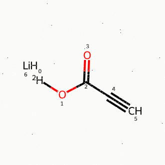 [2H]OC(=O)C#C.[LiH]